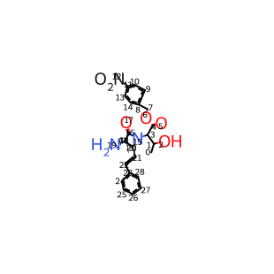 CC(O)C(C(=O)OCc1ccc([N+](=O)[O-])cc1)N1C(=O)[C@H](N)[C@@H]1C=Cc1ccccc1